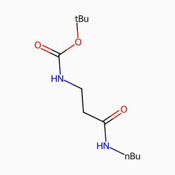 CCCCNC(=O)CCNC(=O)OC(C)(C)C